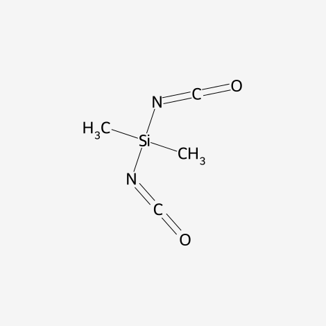 C[Si](C)(N=C=O)N=C=O